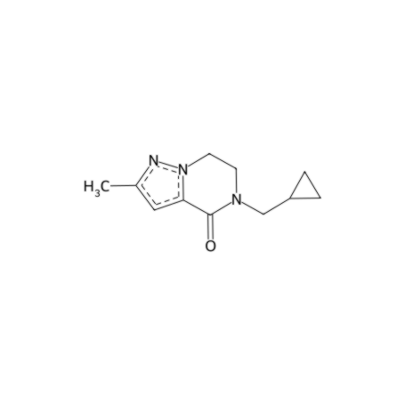 Cc1cc2n(n1)CCN(CC1CC1)C2=O